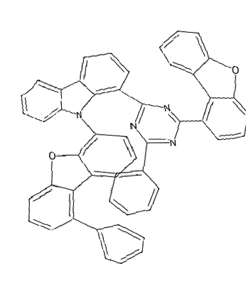 c1ccc(-c2nc(-c3cccc4oc5ccccc5c34)nc(-c3cccc4c5ccccc5n(-c5cccc6c5oc5cccc(-c7ccccc7)c56)c34)n2)cc1